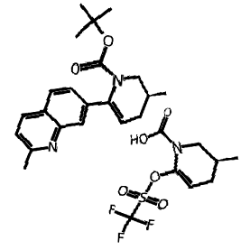 C[C@H]1CC=C(OS(=O)(=O)C(F)(F)F)N(C(=O)O)C1.Cc1ccc2ccc(C3=CC[C@H](C)CN3C(=O)OC(C)(C)C)cc2n1